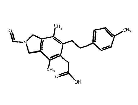 Cc1ccc(CCc2c(C)c3c(c(C)c2CC(=O)O)CN(C=O)C3)cc1